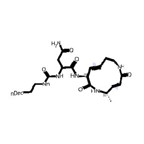 CCCCCCCCCCCCNC(=O)NC(CC(N)=O)C(=O)N[C@H]1/C=C/CCNC(=O)/C=C/[C@H](C)NC1=O